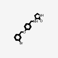 O=C1NCC[C@@H]1NCc1ccc(OCc2cccc(Br)c2)cc1